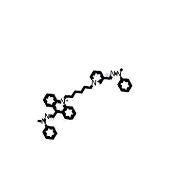 CN(/N=C/c1ccc[n+](CCCCCC[n+]2c3ccccc3c(/C=N/N(C)c3ccccc3)c3ccccc32)c1)c1ccccc1